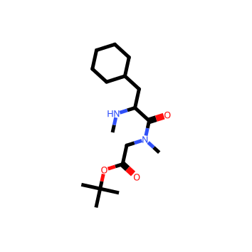 CNC(CC1CCCCC1)C(=O)N(C)CC(=O)OC(C)(C)C